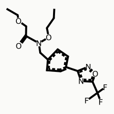 CCCON(Cc1ccc(-c2noc(C(F)(F)F)n2)cc1)C(=O)COCC